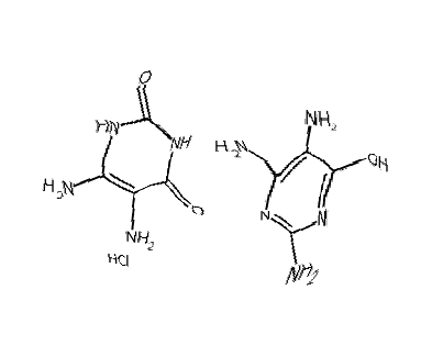 Cl.Nc1[nH]c(=O)[nH]c(=O)c1N.Nc1nc(N)c(N)c(O)n1